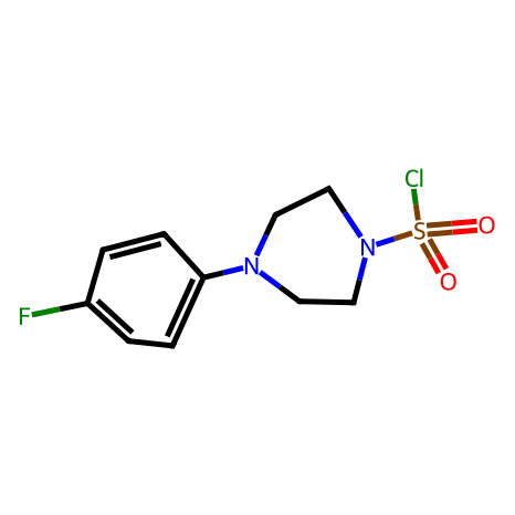 O=S(=O)(Cl)N1CCN(c2ccc(F)cc2)CC1